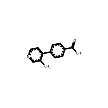 Cc1cnccc1-c1ccc(C(=O)O)cc1